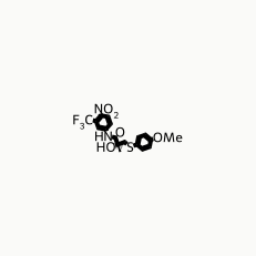 COc1ccc(SC[C@](C)(O)C(=O)Nc2ccc([N+](=O)[O-])c(C(F)(F)F)c2)cc1